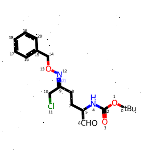 CC(C)(C)OC(=O)NC(C=O)CC/C(CCl)=N/OCc1ccccc1